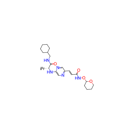 CC(C)[C@@H](Nc1cnc(/C=C/C(=O)NOC2CCCCO2)cn1)C(=O)NCC1CCCCC1